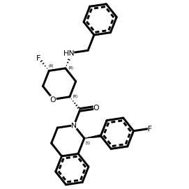 O=C([C@H]1C[C@@H](NCc2ccccc2)[C@@H](F)CO1)N1CCc2ccccc2[C@@H]1c1ccc(F)cc1